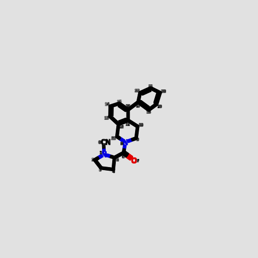 N#CN1CCCC1C(=O)N1CCc2c(cccc2-c2ccccc2)C1